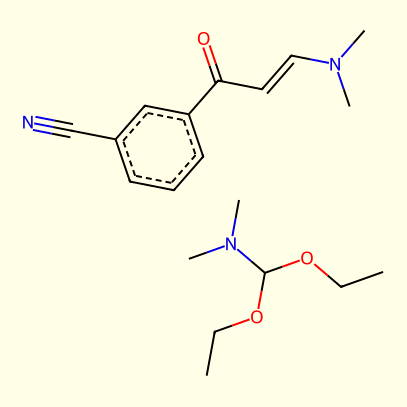 CCOC(OCC)N(C)C.CN(C)C=CC(=O)c1cccc(C#N)c1